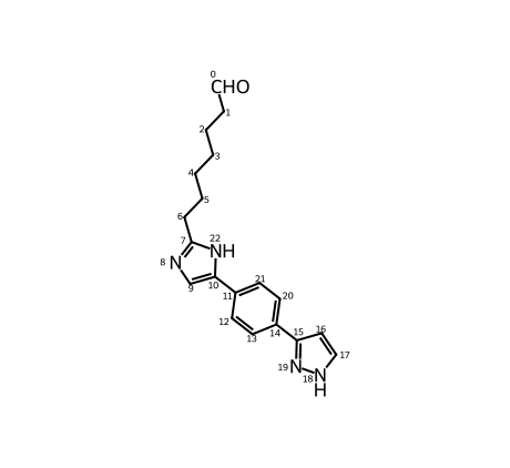 O=CCCCCCCc1ncc(-c2ccc(-c3cc[nH]n3)cc2)[nH]1